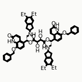 CCc1cc2c(cc1CC)CC(NC[C@H](OC(=O)[C@H](O)[C@@H](O)C(=O)O[C@@H](CNC1Cc3cc(CC)c(CC)cc3C1)c1ccc(OCc3ccccc3)c3[nH]c(=O)ccc13)c1ccc(OCc3ccccc3)c3[nH]c(=O)ccc13)C2